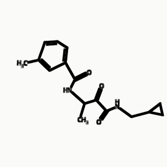 Cc1cccc(C(=O)NC(C)C(=O)C(=O)NCC2CC2)c1